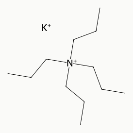 CCC[N+](CCC)(CCC)CCC.[K+]